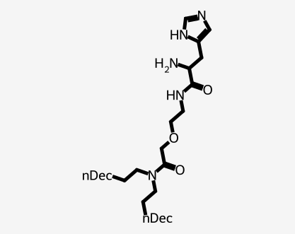 CCCCCCCCCCCCN(CCCCCCCCCCCC)C(=O)COCCNC(=O)C(N)Cc1cnc[nH]1